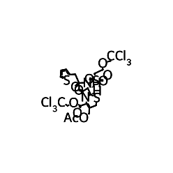 CC(=O)OCC1=C(C(=O)OCC(Cl)(Cl)Cl)N2C(=O)[C@@](CS(=O)(=O)CC(=O)OCC(Cl)(Cl)Cl)(NC(=O)Cc3cccs3)[C@H]2SC1